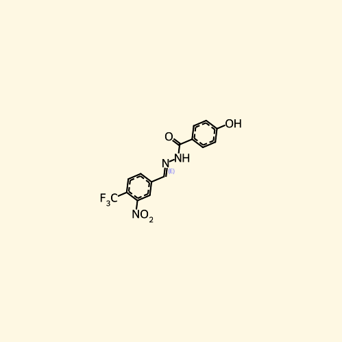 O=C(N/N=C/c1ccc(C(F)(F)F)c([N+](=O)[O-])c1)c1ccc(O)cc1